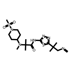 C=NCC(C)(C)c1nnc(NC(=O)C(C)(C)N(C)C2CCN(S(C)(=O)=O)CC2)s1